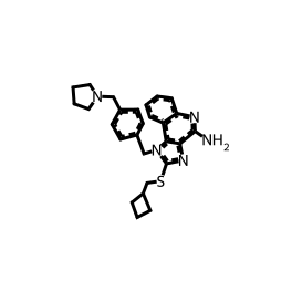 Nc1nc2ccccc2c2c1nc(SCC1CCC1)n2Cc1ccc(CN2CCCC2)cc1